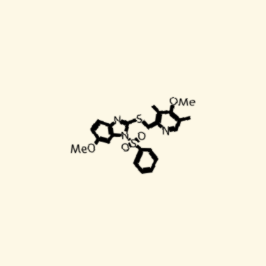 COc1ccc2nc(SCc3ncc(C)c(OC)c3C)n(S(=O)(=O)c3ccccc3)c2c1